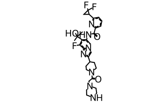 CC(C)(O)c1c(NC(=O)c2cccc(C3CC3(F)F)n2)cn2cc(C3CCN(C(=O)CN4CCNCC4)CC3)nc2c1F